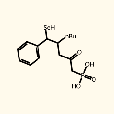 CCCCC(CC(=O)CP(=O)(O)O)C([SeH])c1ccccc1